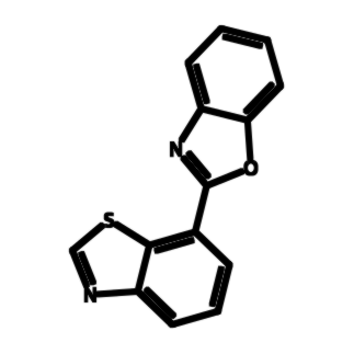 c1ccc2oc(-c3cccc4ncsc34)nc2c1